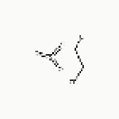 ClCCCl.O=S(=O)=O